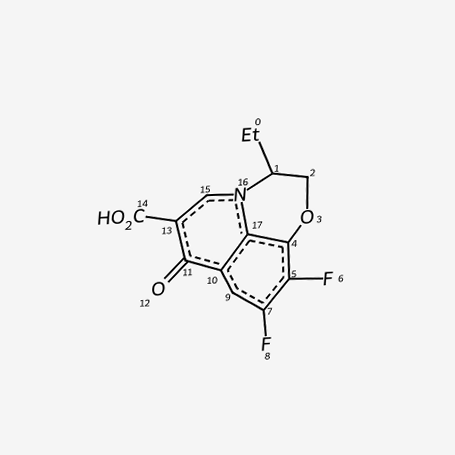 CCC1COc2c(F)c(F)cc3c(=O)c(C(=O)O)cn1c23